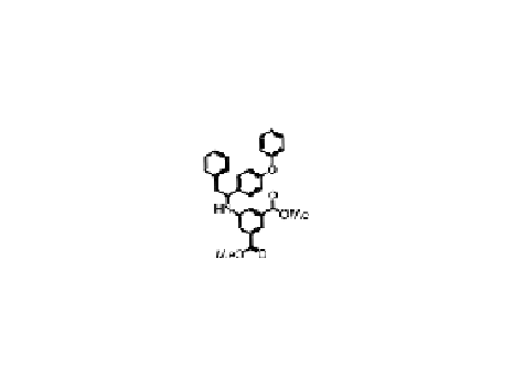 COC(=O)c1cc(NC(Cc2ccccc2)c2ccc(Oc3ccccc3)cc2)cc(C(=O)OC)c1